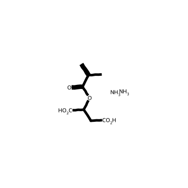 C=C(C)C(=O)OC(CC(=O)O)C(=O)O.N.N